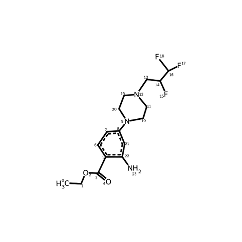 CCOC(=O)c1ccc(N2CCN(CC(F)C(F)F)CC2)cc1N